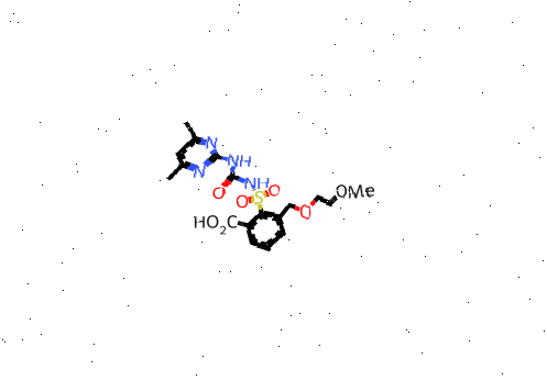 COCCOCc1cccc(C(=O)O)c1S(=O)(=O)NC(=O)Nc1nc(C)cc(C)n1